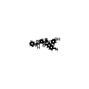 N#Cc1ccc2cc3c(=O)n(-c4cccc(NC(=O)Oc5ccccc5)c4)c(=O)nc-3n(-c3ccc(O)cc3)c2c1